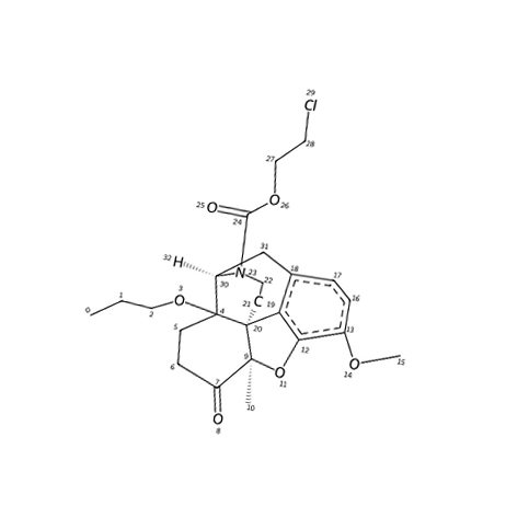 CCCOC12CCC(=O)[C@]3(C)Oc4c(OC)ccc5c4[C@]13CCN(C(=O)OCCCl)[C@@H]2C5